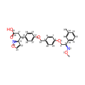 CO/N=C(\COc1ccc(COc2ccc(C(CC(=O)O)c3ccon3)cc2)cc1)c1cccc(C)c1